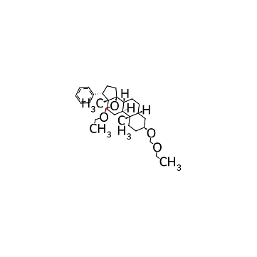 CCOCO[C@H]1CC[C@@]2(C)[C@H](CC[C@@H]3[C@@H]2CC[C@]2(C)[C@H](c4ccccc4)CC[C@]32OCOCC)C1